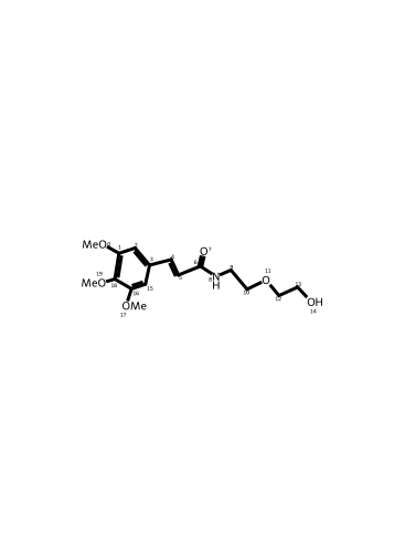 COc1cc(C=CC(=O)NCCOCCO)cc(OC)c1OC